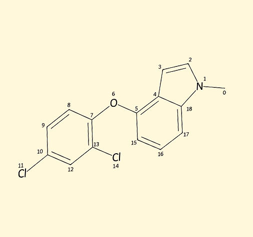 Cn1ccc2c(Oc3ccc(Cl)cc3Cl)cccc21